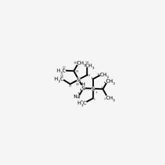 CC[Si](CC)(C(C)C)[SiH]([Na])[Si](CC)(CC)C(C)C